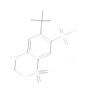 Cl.NS(=O)(=O)c1cc2c(cc1C(F)(F)F)NCNS2(=O)=O